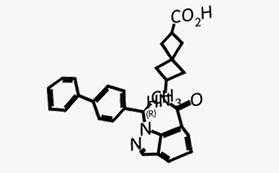 C[C@H](c1ccc(-c2ccccc2)cc1)n1ncc2cccc(C(=O)NC3CC4(C3)CC(C(=O)O)C4)c21